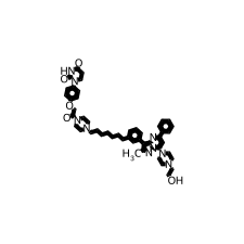 Cc1nn2c(N3CCN(CCO)CC3)cc(-c3ccccc3)nc2c1-c1cccc(CCCCCCCN2CCN(C(=O)COc3ccc(N4CCC(=O)NC4=O)cc3)CC2)c1